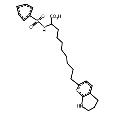 O=C(O)C(CCCCCCCCc1ccc2c(n1)NCCC2)NS(=O)(=O)c1ccccc1